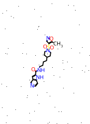 Cc1oncc1S(=O)(=O)N1CCC(CCCCNC(=O)c2cc3cnccc3[nH]2)CC1